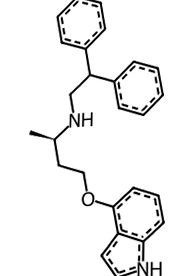 C[C@H](CCOc1cccc2[nH]ccc12)NCC(c1ccccc1)c1ccccc1